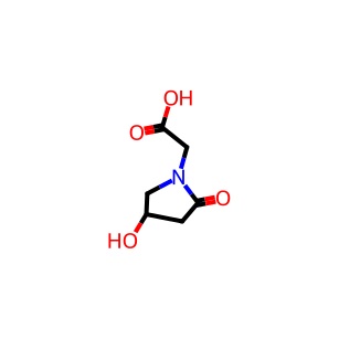 O=C(O)CN1CC(O)CC1=O